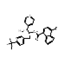 O=C(N[C@@H](Cc1ccc(C(F)(F)F)cc1)[C@H](O)c1ccncc1)c1ccc(F)c2ccccc12